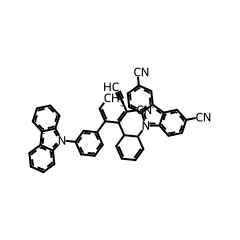 C#C/C(C#N)=C(\C(=C/C)c1cccc(-n2c3ccccc3c3ccccc32)c1)C1C=CC=CC1n1c2ccc(C#N)cc2c2cc(C#N)ccc21